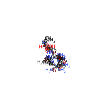 C/C1=C2N=C(/C=C3N=C(/C(C)=C4/[C@@H](CCC(N)=O)[C@](C)(CC(N)=O)[C@](C)([C@@H]5N=C1[C@](C)(CCC(=O)NCC(C)OP(=O)([O-])O[C@H]1[C@@H](O)[C@@H](n6cnc7cc(C)c(C)cc76)O[C@@H]1CO)[C@H]5CC(N)=O)[N]4[Co+][C]#N)[C@@](C)(CC(N)=O)[C@@H]\3CCC(N)=O)C(C)(C)[C@@H]/2CCC(N)=O.C=C(C)C